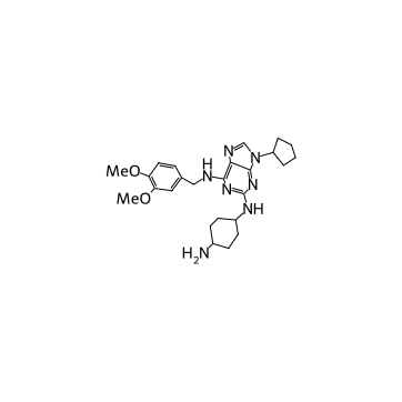 COc1ccc(CNc2nc(NC3CCC(N)CC3)nc3c2ncn3C2CCCC2)cc1OC